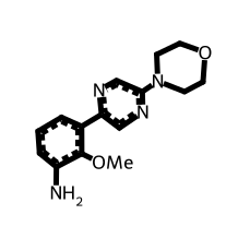 COc1c(N)cccc1-c1cnc(N2CCOCC2)cn1